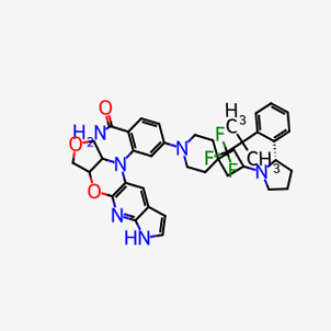 CC(C)(c1ccccc1[C@@H]1CCCN1C1CC2(CCN(c3ccc(C(N)=O)c(N4c5cc6cc[nH]c6nc5OC5COCC54)c3)CC2)C1)C(F)(F)F